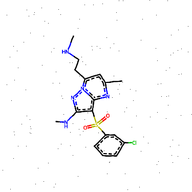 CNCCc1cc(C)nc2c(S(=O)(=O)c3cccc(Cl)c3)c(NC)nn12